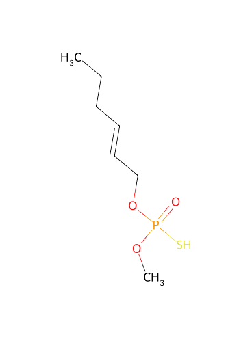 CCC/C=C/COP(=O)(S)OC